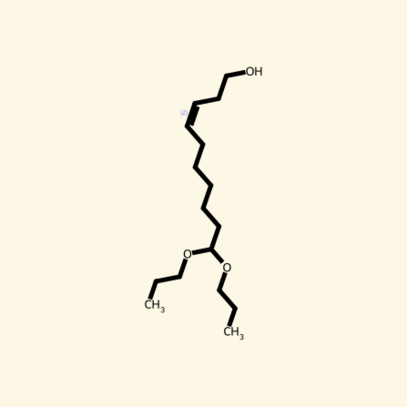 CCCOC(CCCCC/C=C\CCO)OCCC